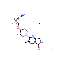 Cc1cc2c(nc1N1CCC(OC[C@@]3(C)C[C@@H]3C#N)CC1)CNC2=O